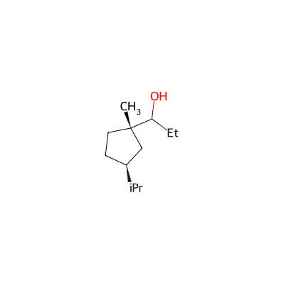 CCC(O)[C@@]1(C)CC[C@H](C(C)C)C1